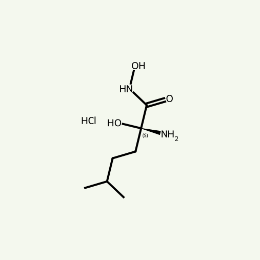 CC(C)CC[C@](N)(O)C(=O)NO.Cl